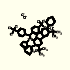 CC(C)(C)c1cc2c(cc1-c1ccccc1)Cc1c-2cc(C(C)(C)C)c(-c2ccccc2)[c]1[Zr+2]([C]1=CC=CC1)=[C](c1ccc(C(Cl)(Cl)Cl)cc1)c1ccc(C(Cl)(Cl)Cl)cc1.[Cl-].[Cl-]